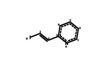 IC=Cc1ccccn1